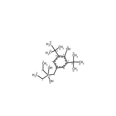 CCP(O)(O)(CC)Cc1cc(C(C)(C)C)c(O)c(C(C)(C)C)c1